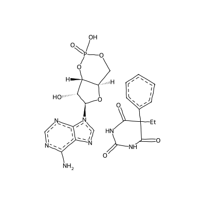 CCC1(c2ccccc2)C(=O)NC(=O)NC1=O.Nc1ncnc2c1ncn2[C@@H]1O[C@@H]2COP(=O)(O)O[C@H]2[C@H]1O